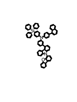 c1ccc([Si](c2ccccc2)(c2ccccc2)c2ccc(N(c3ccc(-c4cccc5ccccc45)cc3)c3cccc(-c4cccc5c4c4ccccc4n5-c4cccc5c4oc4ccccc45)c3)cc2)cc1